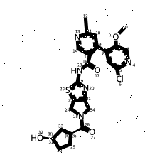 COc1cnc(Cl)cc1-c1cc(C)ncc1C(=O)Nc1nc2c(s1)CN(C(=O)[C@H]1CC[C@@H](O)C1)C2